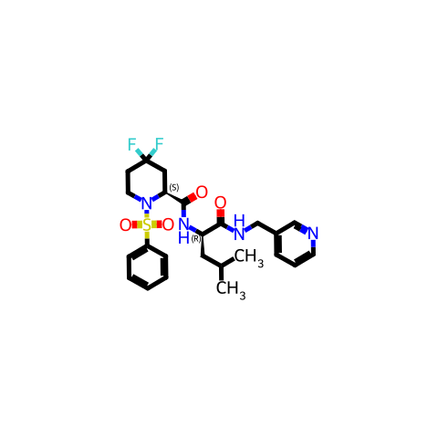 CC(C)C[C@@H](NC(=O)[C@@H]1CC(F)(F)CCN1S(=O)(=O)c1ccccc1)C(=O)NCc1cccnc1